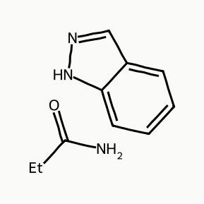 CCC(N)=O.c1ccc2[nH]ncc2c1